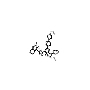 CCN(c1cc(-c2ccc(N3CCN(C)CC3)nc2)cc(C(=O)NCc2c3c(c[nH]c2=O)CCCC3)c1C)C1CCOCC1